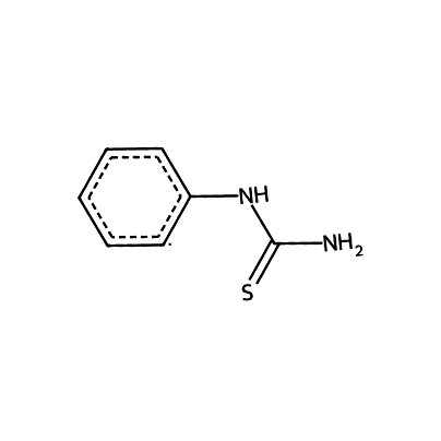 NC(=S)Nc1[c]cccc1